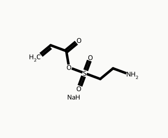 C=CC(=O)OS(=O)(=O)CCN.[NaH]